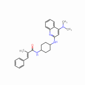 CC(=Cc1ccccc1)C(=O)NC1CCC(Nc2cc(N(C)C)c3ccccc3n2)CC1